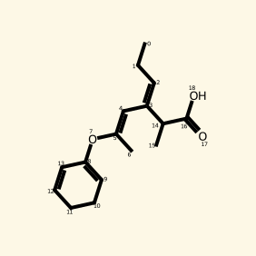 CC/C=C(\C=C(/C)OC1=CCCC=C1)C(C)C(=O)O